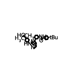 CC(C)(C)c1ccc(C(=O)Nc2cccc(-c3cn4ccnc4c(Nc4ccc(C(C)(C)O)cc4)n3)c2)cc1